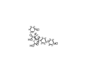 O=C(O)CN([C@]1(C(=O)O)C[C@H]1c1ccccc1Cl)S(=O)(=O)c1ccc(-c2ccc(Cl)cc2)cc1